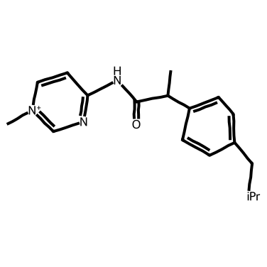 CC(C)Cc1ccc(C(C)C(=O)Nc2cc[n+](C)cn2)cc1